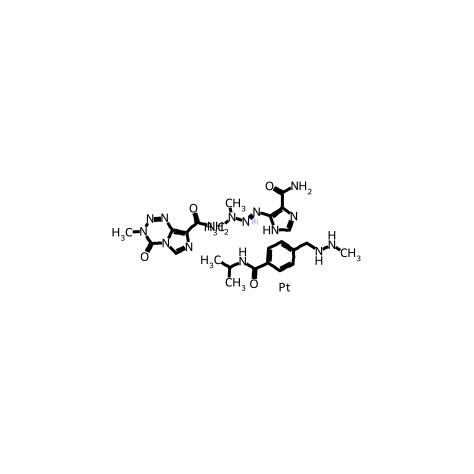 CN(C)/N=N/c1[nH]cnc1C(N)=O.CNNCc1ccc(C(=O)NC(C)C)cc1.Cn1nnc2c(C(N)=O)ncn2c1=O.[Pt]